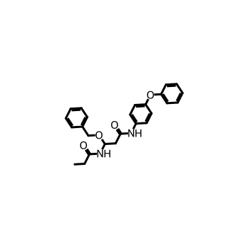 CCC(=O)NC(CC(=O)Nc1ccc(Oc2ccccc2)cc1)OCc1ccccc1